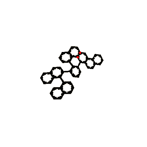 c1cc(-c2ccc3ccccc3c2-c2cccc3ccccc23)c(-c2cccc3ccccc23)c(-c2cccc3c2ccc2ccccc23)c1